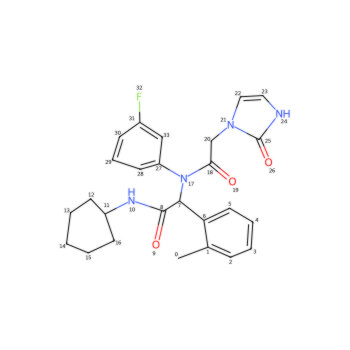 Cc1ccccc1C(C(=O)NC1CCCCC1)N(C(=O)Cn1cc[nH]c1=O)c1cccc(F)c1